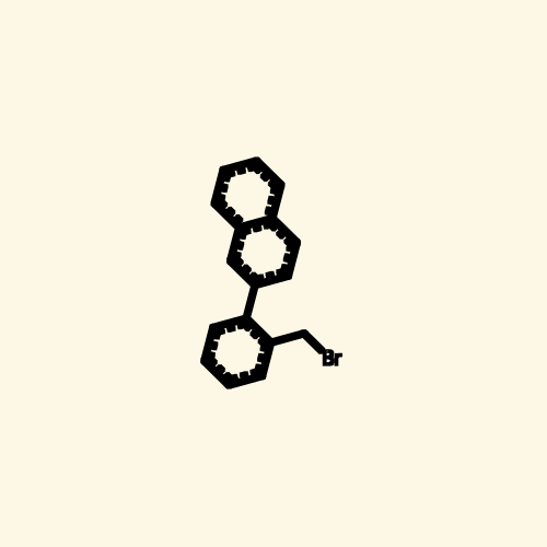 BrCc1ccccc1-c1ccc2ccccc2c1